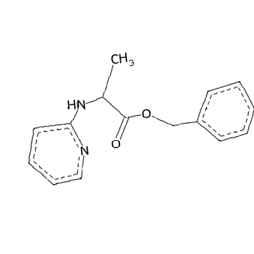 CC(Nc1ccccn1)C(=O)OCc1ccccc1